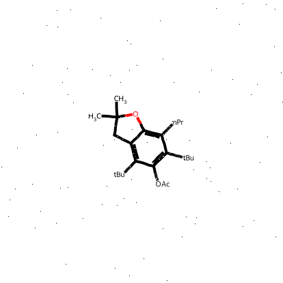 CCCc1c2c(c(C(C)(C)C)c(OC(C)=O)c1C(C)(C)C)CC(C)(C)O2